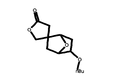 CCCCOC1CC2OC1CC21COC(=O)C1